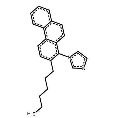 CCCCCCc1ccc2c(ccc3ccccc32)c1-n1ccnc1